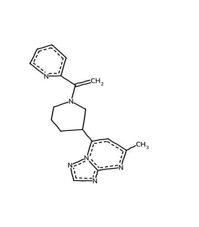 C=C(c1ccccn1)N1CCCC(c2cc(C)nc3ncnn23)C1